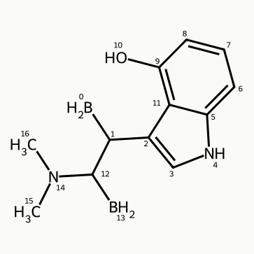 BC(c1c[nH]c2cccc(O)c12)C(B)N(C)C